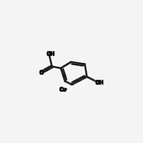 O=C(O)c1ccc(O)cc1.[Cu]